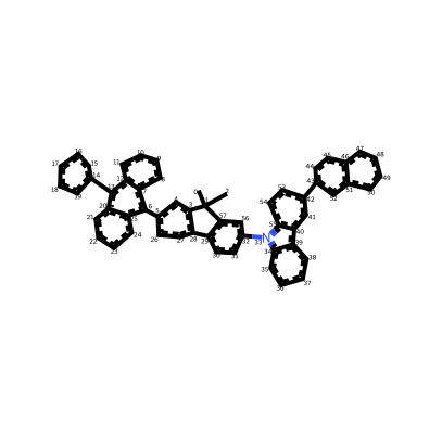 CC1(C)c2cc(-c3c4ccccc4c(-c4ccccc4)c4ccccc34)ccc2-c2ccc(-n3c4ccccc4c4cc(-c5ccc6ccccc6c5)ccc43)cc21